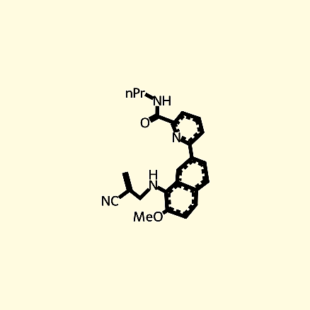 C=C(C#N)CNc1c(OC)ccc2ccc(-c3cccc(C(=O)NCCC)n3)cc12